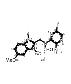 CCn1c(CN(C=O)c2nc(I)cnc2N)[n+](C)c2ccc(OC)cc21.[I-]